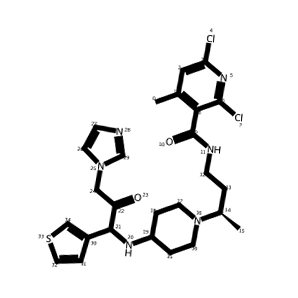 Cc1cc(Cl)nc(Cl)c1C(=O)NCC[C@@H](C)N1CCC(NC(C(=O)Cn2ccnc2)c2ccsc2)CC1